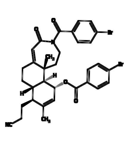 CC1=C[C@@H](OC(=O)c2ccc(Br)cc2)[C@H]2[C@@H](CCC3=CC(=O)N(C(=O)c4ccc(Br)cc4)CC[C@@]32C)[C@@H]1CCC#N